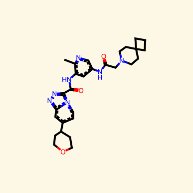 Cc1ncc(NC(=O)CN2CCC3(CCC3)CC2)cc1NC(=O)c1nnc2cc(C3CCOCC3)ccn12